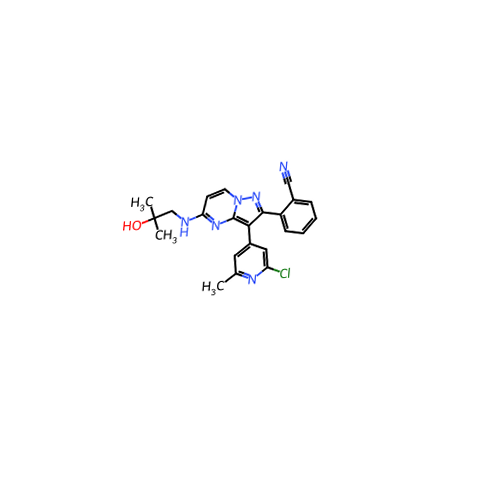 Cc1cc(-c2c(-c3ccccc3C#N)nn3ccc(NCC(C)(C)O)nc23)cc(Cl)n1